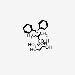 C=C(C)C(=O)O.O=S(=O)(O)O.OCCO.c1ccc(Oc2ccccc2)cc1